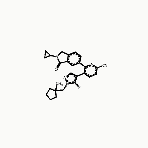 CC1(Cn2ncc(-c3ccc(C#N)nc3-c3ccc4c(c3)C(=O)N(C3CC3)C4)c2F)CCCC1